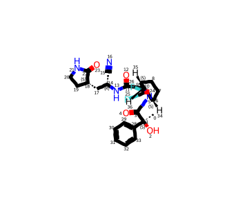 C[C@@](O)(C(=O)N1[C@H]2CC[C@@H]([C@H]1C(=O)N[C@@H](C#N)C[C@@H]1CCNC1=O)C(F)(F)C2)c1ccccc1